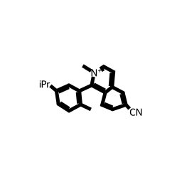 Cc1ccc(C(C)C)cc1-c1c2ccc(C#N)cc2cc[n+]1C